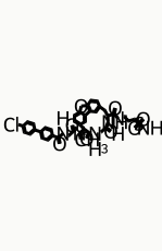 CN(C(=O)CNC(=O)c1ccc(-c2ccc(Cl)cc2)cc1)C1C(=O)NCC(=O)NC(C(=O)NCCCS(N)(=O)=O)Cc2ccc3oc4ccc1cc4c3c2